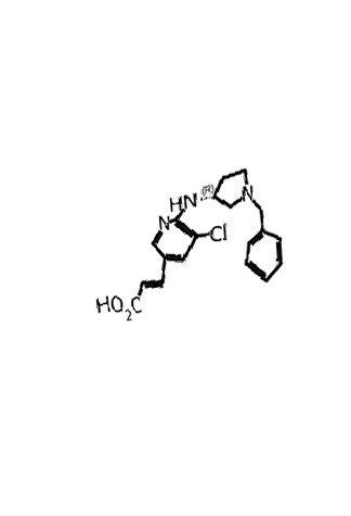 O=C(O)C=Cc1cnc(N[C@@H]2CCN(Cc3ccccc3)C2)c(Cl)c1